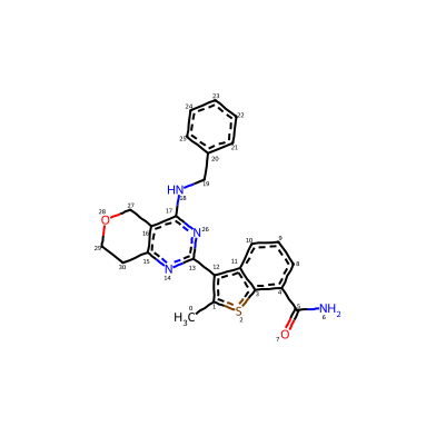 Cc1sc2c(C(N)=O)cccc2c1-c1nc2c(c(NCc3ccccc3)n1)COCC2